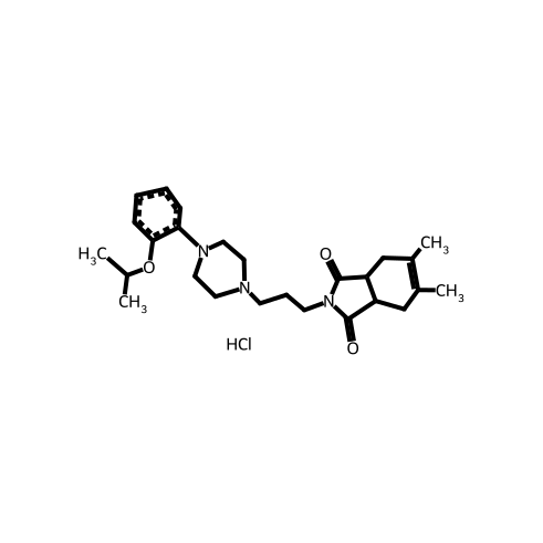 CC1=C(C)CC2C(=O)N(CCCN3CCN(c4ccccc4OC(C)C)CC3)C(=O)C2C1.Cl